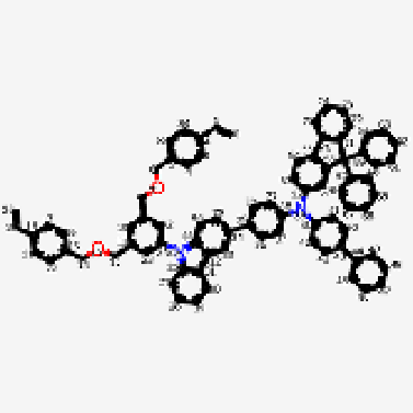 C=Cc1ccc(COCc2cc(COCc3ccc(C=C)cc3)cc(-n3c4ccccc4c4cc(-c5ccc(N(c6ccc(-c7ccccc7)cc6)c6ccc7c(c6)C(c6ccccc6)(c6ccccc6)c6ccccc6-7)cc5)ccc43)c2)cc1